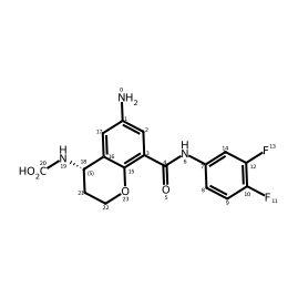 Nc1cc(C(=O)Nc2ccc(F)c(F)c2)c2c(c1)[C@@H](NC(=O)O)CCO2